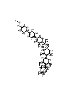 CCCC1=CC[C@@H](C2=CC=C(C3=C[C@@H](F)C(C(F)(F)O[C@H]4CC(F)C([C@@H]5CC(F)=C(C(F)(F)OC(F)(F)F)C(F)C5)[C@@H](F)C4)CC3)CC2)CC1